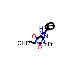 CCCn1c(=O)n(CCC=O)c(=O)c2[nH]c(C34CC5CC(CC3C5)C4)nc21